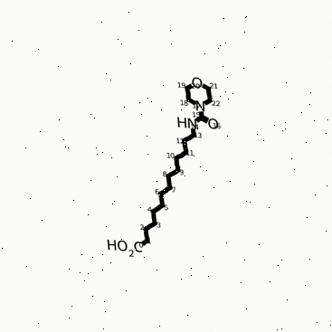 O=C(O)CCCCCCCCCCCCCNC(=O)N1CCOCC1